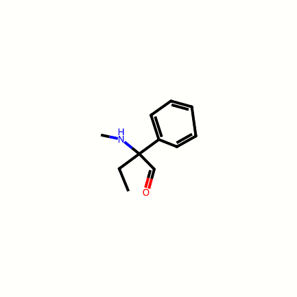 CCC(C=O)(NC)c1ccccc1